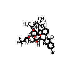 CCS(=O)(=O)N(c1nn(CC(F)(F)F)c2c(-n3c([C@H](Cc4cc(F)cc(F)c4)NC(=O)Cn4nc(C(F)(F)F)cc4C)nc4cc(Br)ccc4c3=O)ccc(Cl)c12)S(=O)(=O)CC